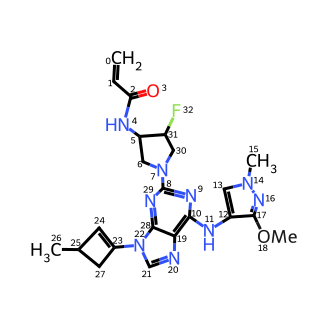 C=CC(=O)NC1CN(c2nc(Nc3cn(C)nc3OC)c3ncn(C4=CC(C)C4)c3n2)CC1F